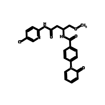 COCC(CC(=O)Nc1ccc(Cl)cn1)NC(=O)c1ccc(-n2ccccc2=O)cc1